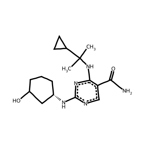 CC(C)(Nc1nc(N[C@H]2CCCC(O)C2)ncc1C(N)=O)C1CC1